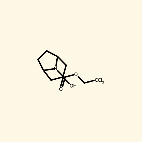 O=C(OCC(Cl)(Cl)Cl)N1C2CCC1CC(O)C2